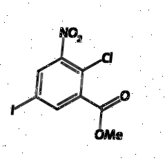 COC(=O)c1cc(I)cc([N+](=O)[O-])c1Cl